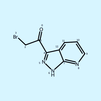 O=C(CBr)c1n[nH]c2ncccc12